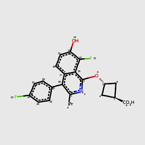 CC(C)c1nc(O[C@H]2C[C@H](C(=O)O)C2)c2c(F)c(O)ccc2c1-c1ccc(F)cc1